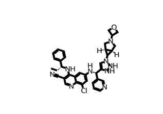 CC[C@@H](Nc1c(C#N)cnc2c(Cl)cc(N[C@H](C3=CN(C4[C@H]5CN(C6COC6)C[C@@H]45)NN3)c3cccnc3)cc12)c1ccccc1